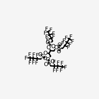 O=S(=O)(CC(F)(F)C(F)(F)C(F)(F)F)OCC(OS(=O)(=O)CC(F)(F)C(F)(F)C(F)(F)F)C(COS(=O)(=O)CC(F)(F)C(F)(F)C(F)(F)F)OS(=O)(=O)CC(F)(F)C(F)(F)C(F)(F)F